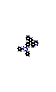 c1ccc(-c2nc(-c3ccccc3)nc(-c3ccc(-c4c(-c5cccc6ncccc56)ccc5ccccc45)cc3)n2)cc1